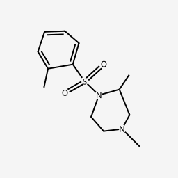 Cc1ccccc1S(=O)(=O)N1CCN(C)CC1C